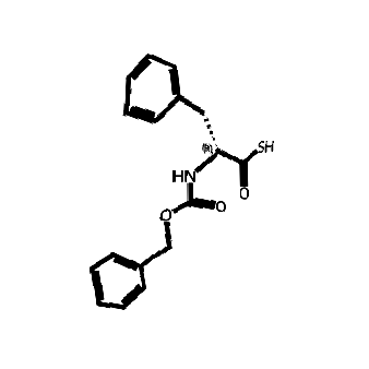 O=C(N[C@H](Cc1ccccc1)C(=O)S)OCc1ccccc1